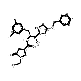 CCN1CC(C(=O)N[C@@H](Cc2cc(F)cc(F)c2)[C@H](O)[C@H]2C[C@@H](OCc3ccccc3)CN2)CC1=O